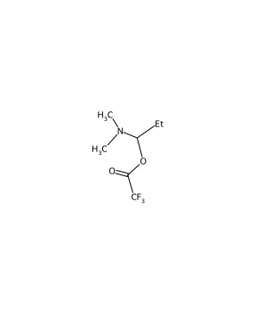 CCC(OC(=O)C(F)(F)F)N(C)C